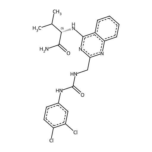 CC(C)[C@H](Nc1nc(CNC(=O)Nc2ccc(Cl)c(Cl)c2)nc2ccccc12)C(N)=O